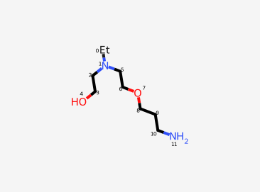 CCN(CCO)CCOCCCN